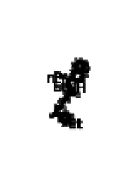 C=C(CCCCCC(=C)c1ccc(CC)cc1)NC(CC)C(CCC)C1=CC2=C(C=C=C1)OCCC2